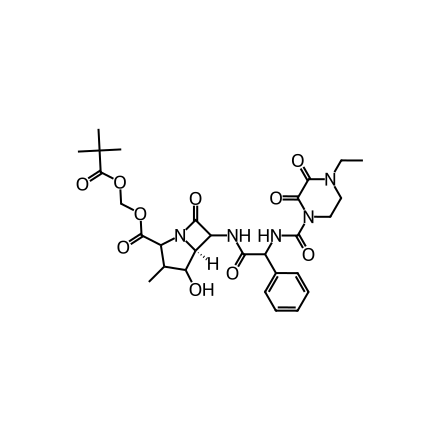 CCN1CCN(C(=O)NC(C(=O)NC2C(=O)N3C(C(=O)OCOC(=O)C(C)(C)C)C(C)C(O)[C@H]23)c2ccccc2)C(=O)C1=O